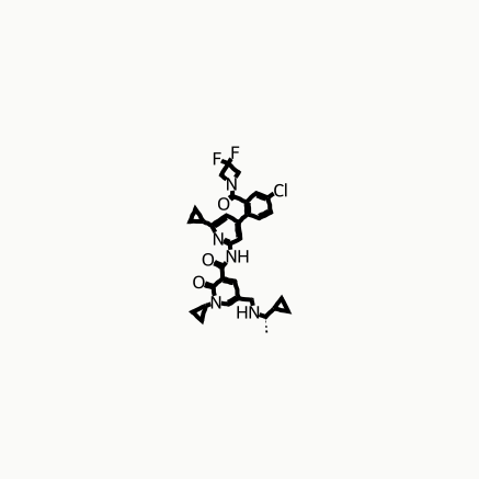 C[C@H](NCc1cc(C(=O)Nc2cc(-c3ccc(Cl)cc3C(=O)N3CC(F)(F)C3)cc(C3CC3)n2)c(=O)n(C2CC2)c1)C1CC1